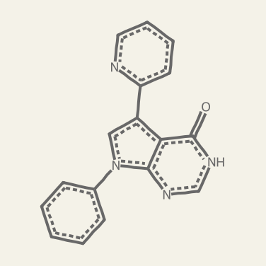 O=c1[nH]cnc2c1c(-c1ccccn1)cn2-c1ccccc1